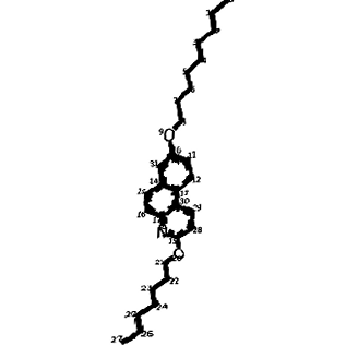 CCCCCCCCCOc1ccc2c(ccc3nc(OCCCCCCC)ccc32)c1